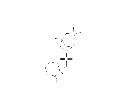 CC[C@H]1CC[C@](CC)(CS(=O)(=O)N2CC3(C)CC2CC(C)(C)C3)C(=O)C1